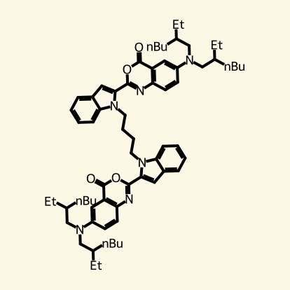 CCCCC(CC)CN(CC(CC)CCCC)c1ccc2nc(-c3cc4ccccc4n3CCCCn3c(-c4nc5ccc(N(CC(CC)CCCC)CC(CC)CCCC)cc5c(=O)o4)cc4ccccc43)oc(=O)c2c1